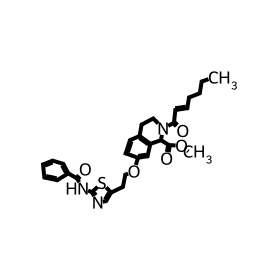 CCCCC=CC(=O)N1CCc2ccc(OCCc3cnc(NC(=O)c4ccccc4)s3)cc2C1C(=O)OC